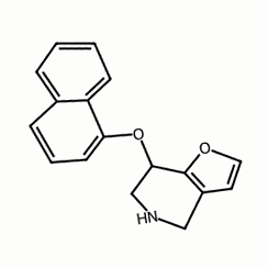 c1ccc2c(OC3CNCc4ccoc43)cccc2c1